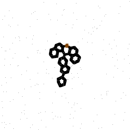 c1ccc(-c2ccc3cc(C4c5c(ccc6ccccc56)Sc5ccc6ccccc6c54)ccc3c2)cc1